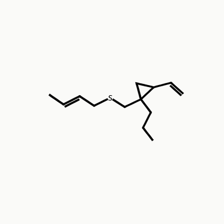 C=CC1CC1(CCC)CSCC=CC